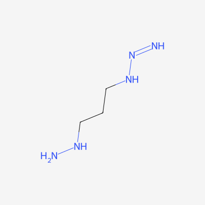 N=NNCCCNN